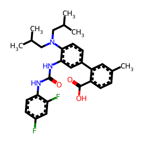 Cc1ccc(C(=O)O)c(-c2ccc(N(CC(C)C)CC(C)C)c(NC(=O)Nc3ccc(F)cc3F)c2)c1